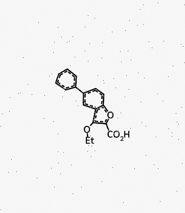 CCOc1c(C(=O)O)oc2ccc(-c3ccccc3)cc12